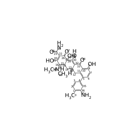 Cc1ccc(-c2ccc(O)c3c2C[C@H]2C[C@H]4[C@H](N(C)C)C(O)=C(C(N)=O)C(=O)[C@@]4(O)C(O)=C2C3=O)cc1N